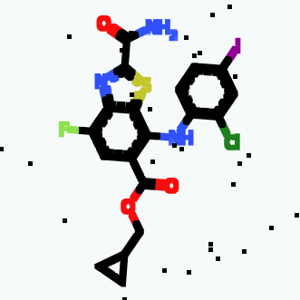 NC(=O)c1nc2c(F)cc(C(=O)OCC3CC3)c(Nc3ccc(I)cc3Cl)c2s1